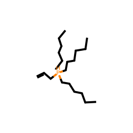 C=CC[PH](CCCCCC)(CCCCCC)CCCCCC